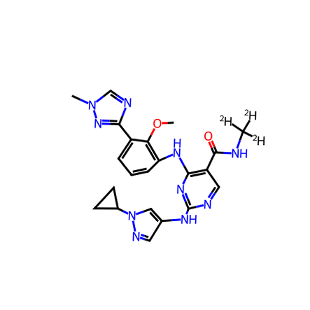 [2H]C([2H])([2H])NC(=O)c1cnc(Nc2cnn(C3CC3)c2)nc1Nc1cccc(-c2ncn(C)n2)c1OC